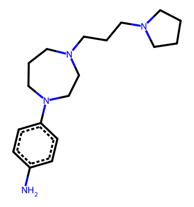 Nc1ccc(N2CCCN(CCCN3CCCC3)CC2)cc1